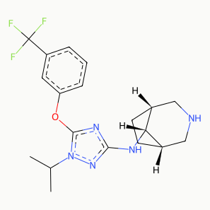 CC(C)n1nc(N[C@@H]2[C@@H]3CC[C@H]2CNC3)nc1Oc1cccc(C(F)(F)F)c1